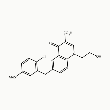 CSc1ccc(Cl)c(Cc2ccc3c(c2)c(=O)c(C(=O)O)cn3CCO)c1